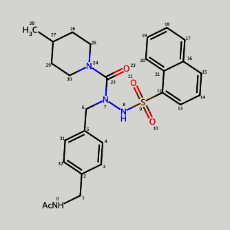 CC(=O)NCc1ccc(CN(NS(=O)(=O)c2cccc3ccccc23)C(=O)N2CCC(C)CC2)cc1